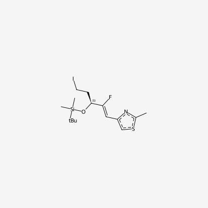 Cc1nc(C=C(F)[C@H](CCI)O[Si](C)(C)C(C)(C)C)cs1